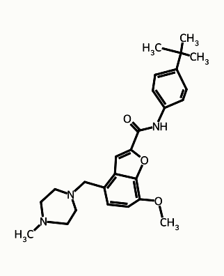 COc1ccc(CN2CCN(C)CC2)c2cc(C(=O)Nc3ccc(C(C)(C)C)cc3)oc12